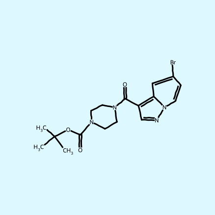 CC(C)(C)OC(=O)N1CCN(C(=O)c2cnn3ccc(Br)cc23)CC1